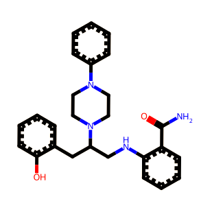 NC(=O)c1ccccc1NCC(Cc1ccccc1O)N1CCN(c2ccccc2)CC1